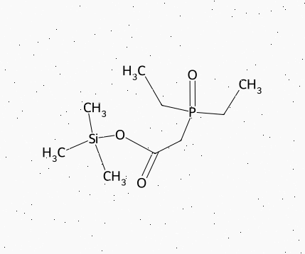 CCP(=O)(CC)CC(=O)O[Si](C)(C)C